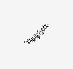 O=C(N[C@H]1CC[C@H](NC(=O)c2nnc(-c3ccc(Cl)c(F)c3)o2)CC1)c1cc2cc(Cl)ccc2o1